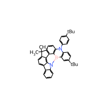 CC(C)(C)c1ccc(N2c3ccc(C(C)(C)C)cc3B3c4c2ccc2c4-c4c(ccc5c6ccccc6n3c45)C2(C)C)cc1